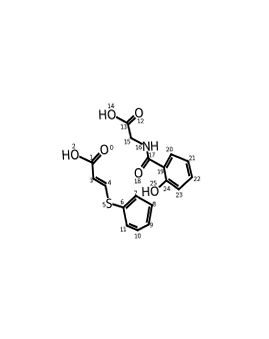 O=C(O)C=CSc1ccccc1.O=C(O)CNC(=O)c1ccccc1O